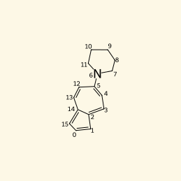 c1cc2ccc(N3CCCCC3)ccc-2c1